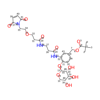 CC(C)(C)C(=O)OCc1ccc(O[C@@H]2OC[C@@H](O)[C@H](O)[C@H]2O)c(NC(=O)CCNC(=O)CCOCCN2C(=O)C=CC2=O)c1